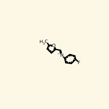 Cc1ccc(/C=N/c2ccc(F)cc2)o1